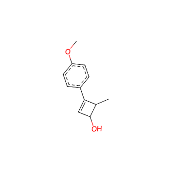 COc1ccc(C2=CC(O)C2C)cc1